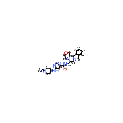 CC(=O)N1CCC(Nc2cc(C(=O)NC[C@@H](CN3Cc4ccccc4C3)N3CCOCC3)ncn2)CC1